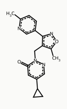 Cc1ccc(-c2noc(C)c2Cn2ncc(C3CC3)cc2=O)cn1